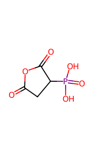 O=C1CC(P(=O)(O)O)C(=O)O1